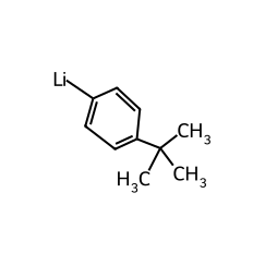 [Li][c]1ccc(C(C)(C)C)cc1